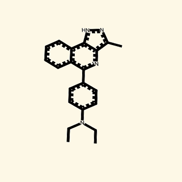 CCN(CC)c1ccc(-c2nc3c(C)n[nH]c3c3ccccc23)cc1